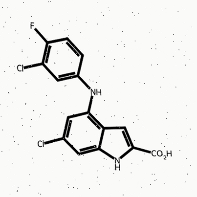 O=C(O)c1cc2c(Nc3ccc(F)c(Cl)c3)cc(Cl)cc2[nH]1